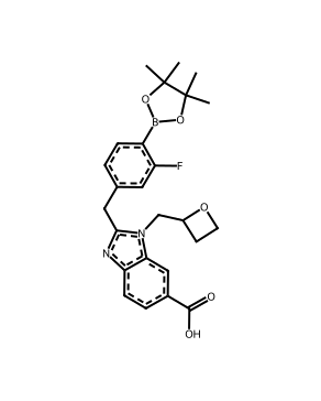 CC1(C)OB(c2ccc(Cc3nc4ccc(C(=O)O)cc4n3CC3CCO3)cc2F)OC1(C)C